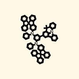 CC1(C)c2ccccc2-n2c3ccccc3c3cc(-c4cc(N(c5ccccc5)c5ccc6c(c5)C5(c7ccccc7-c7ccccc75)c5ccccc5-6)cc(N(c5ccccc5)c5ccc6c(c5)C5(c7ccccc7-c7ccccc75)c5ccccc5-6)c4)cc1c32